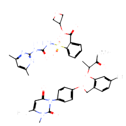 CCc1ccc(COc2ccc(-n3c(=O)cc(C(F)(F)F)n(C)c3=O)cc2)c(OC(C)C(=O)OC)c1.Cc1cc(C)nc(NC(=O)NS(=O)(=O)c2ccccc2C(=O)OC2COC2)n1